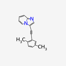 Cc1ccc(C)c(C#Cc2cnc3ccccn23)c1